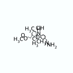 CC(=O)OCCC1=CC(C)=CC(Nc2ccc(C=NN)cc2)(OC(C)C)C1.Cl